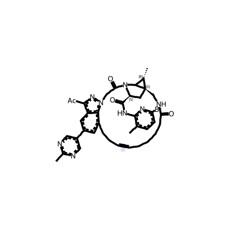 CC(=O)c1nn2c3c(cc(-c4cnc(C)nc4)cc13)CC/C=C\CCCCC(=O)NC[C@@]13C[C@@H](C(=O)Nc4nc(Br)ccc4C)N(C(=O)C2)C1[C@@H]3C